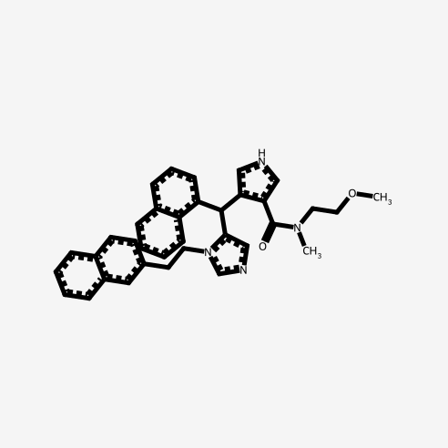 COCCN(C)C(=O)c1c[nH]cc1C(c1cccc2ccccc12)c1cncn1CCc1ccc2ccccc2c1